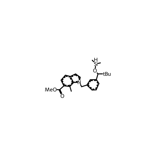 COC(=O)c1ccc2ccn(Cc3cccc(C(O[SiH](C)C)C(C)(C)C)c3)c2c1C